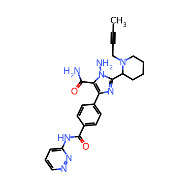 CC#CCN1CCCCC1c1nc(-c2ccc(C(=O)Nc3cccnn3)cc2)c(C(N)=O)n1N